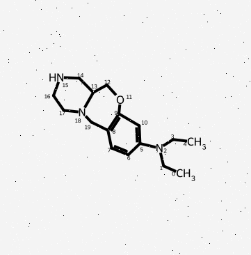 CCN(CC)c1ccc2c(c1)OCC1CNCCN1C2